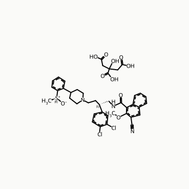 COc1c(C#N)cc2ccccc2c1C(=O)NC[C@@H](CCN1CCC(c2ccccc2[S@+](C)[O-])CC1)c1ccc(Cl)c(Cl)c1.O=C(O)CC(O)(CC(=O)O)C(=O)O